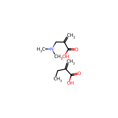 C=C(CC)C(=O)O.C=C(CN(C)C)C(=O)O